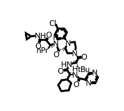 CCC[C@H](NC(=O)[C@H]1CN(C(=O)[C@@H](NC(=O)[C@@H](NC(=O)c2cnccn2)C2CCCCC2)C(C)(C)C)CCN1c1ccc(Cl)cc1)C(=O)C(=O)NC1CC1